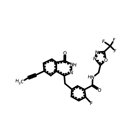 CC#Cc1ccc2c(=O)[nH]nc(Cc3ccc(F)c(C(=O)NCc4nnc(C(F)(F)F)o4)c3)c2c1